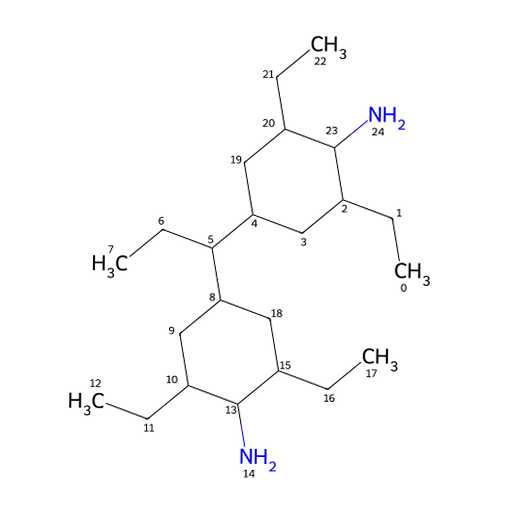 CCC1CC(C(CC)C2CC(CC)C(N)C(CC)C2)CC(CC)C1N